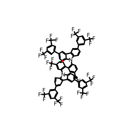 N#Cc1ccc(-n2c3ccc(-c4cc(C(F)(F)F)cc(C(F)(F)F)c4)cc3c3cc(-c4cc(C(F)(F)F)cc(C(F)(F)F)c4)ccc32)c(-c2ccc(C(F)(F)F)cc2-n2c3ccc(-c4cc(C(F)(F)F)cc(C(F)(F)F)c4)cc3c3cc(-c4cc(C(F)(F)F)cc(C(F)(F)F)c4)ccc32)c1